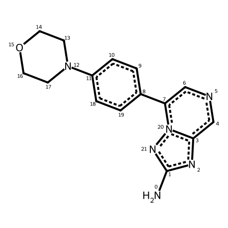 Nc1nc2cncc(-c3ccc(N4CCOCC4)cc3)n2n1